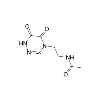 CC(=O)NCCn1[c]n[nH]c(=O)c1=O